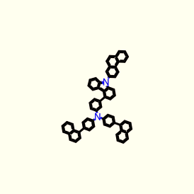 c1cc(-c2cccc3c2c2ccccc2n3-c2ccc3c(ccc4ccccc43)c2)cc(N(c2ccc(-c3cccc4ccccc34)cc2)c2ccc(-c3cccc4ccccc34)cc2)c1